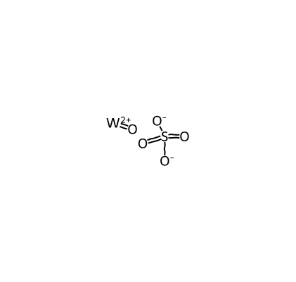 O=S(=O)([O-])[O-].[O]=[W+2]